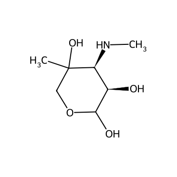 CN[C@H]1[C@@H](O)C(O)OCC1(C)O